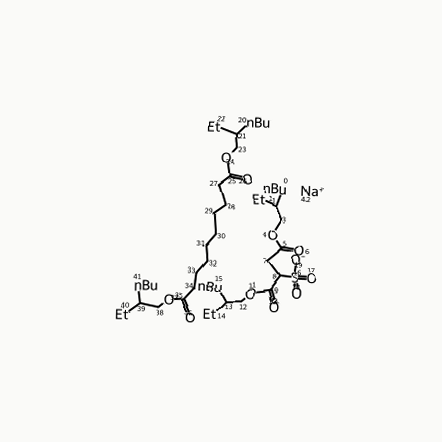 CCCCC(CC)COC(=O)CC(C(=O)OCC(CC)CCCC)S(=O)(=O)[O-].CCCCC(CC)COC(=O)CCCCCCCCC(=O)OCC(CC)CCCC.[Na+]